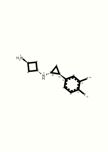 N[C@H]1C[C@H](N[C@@H]2C[C@H]2c2ccc(F)c(F)c2)C1